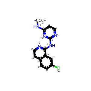 O=C(O)Nc1ccnc(Nc2nccc3ccc(Cl)cc23)n1